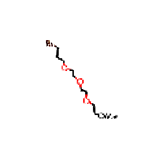 COCCOCCOCCOCCCBr